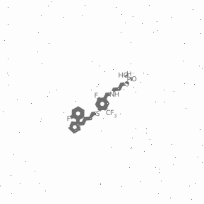 O=[PH](O)OCCCNCc1cc(C(F)(F)F)c(SCCCCC2(c3ccccc3F)CCCC2)cc1F